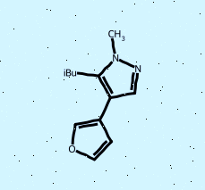 CCC(C)c1c(-c2ccoc2)cnn1C